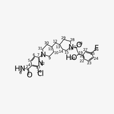 CNC(=O)c1ccc(N2CCC(CC3CCN(C(=O)[C@H](O)c4cccc(F)c4)CC3)CC2)nc1Cl